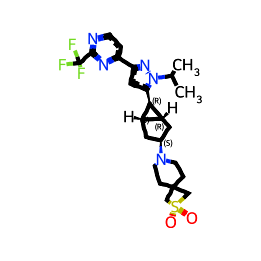 CC(C)n1nc(-c2ccnc(C(F)(F)F)n2)cc1[C@H]1[C@@H]2C[C@@H](N3CCC4(CC3)CS(=O)(=O)C4)C[C@@H]21